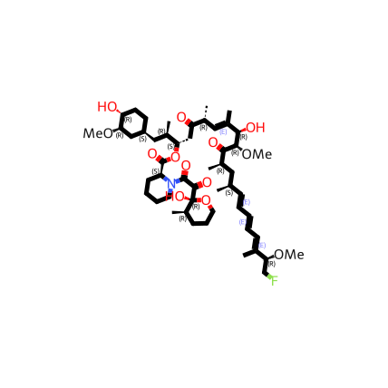 CO[C@@H](CF)/C(C)=C/C=C/C=C/[C@@H](C)C[C@@H](C)C(=O)[C@H](OC)[C@H](O)/C(C)=C/[C@@H](C)C(=O)C[C@H](OC(=O)[C@@H]1CCCCN1C(=O)C(=O)[C@]1(O)OCCC[C@H]1C)[C@H](C)C[C@@H]1CC[C@@H](O)[C@H](OC)C1